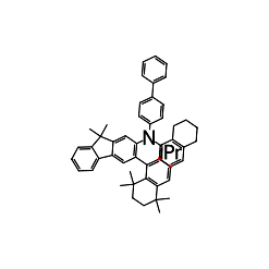 CC(C)c1ccc2c(c1-c1cc3c(cc1N(c1ccc(-c4ccccc4)cc1)c1cccc4c1CCCC4)C(C)(C)c1ccccc1-3)C(C)(C)CCC2(C)C